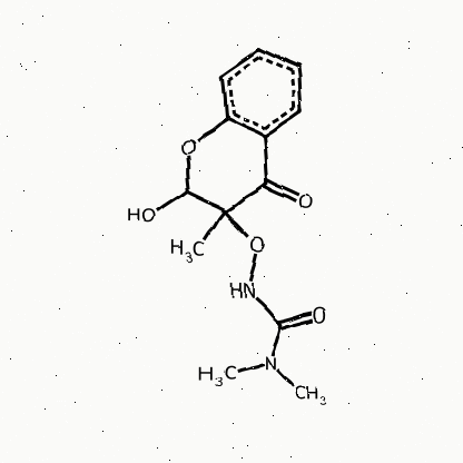 CN(C)C(=O)NOC1(C)C(=O)c2ccccc2OC1O